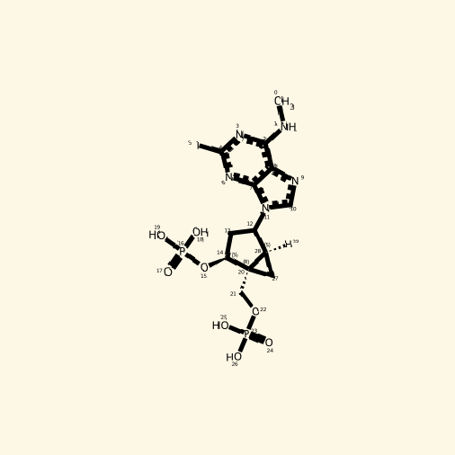 CNc1nc(I)nc2c1ncn2C1C[C@H](OP(=O)(O)O)[C@]2(COP(=O)(O)O)C[C@H]12